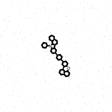 c1ccc(-n2c3ccc(-c4ccc(-c5ccc6c(c5)-c5cccc7cccc(c57)O6)cc4)cc3c3ccc4ccccc4c32)cc1